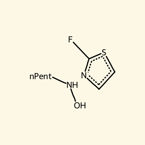 CCCCCNO.Fc1nccs1